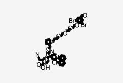 N#CCC1CN(c2nc(OCC3CCCN3CCCOCCOCCOCCOc3c(Br)cc(C=O)cc3Br)nc3c2CCN(c2cccc4cccc(Cl)c24)C3)CCN1C(=O)O